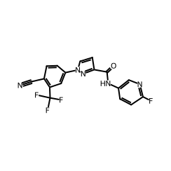 N#Cc1ccc(-n2ccc(C(=O)Nc3ccc(F)nc3)n2)cc1C(F)(F)F